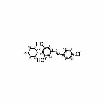 Oc1cc(C=Cc2ccc(Cl)cc2)cc(O)c1C1CCCCC1